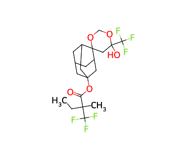 CCC(C)(C(=O)OC12CC3CC(C1)C1(CC(O)(C(F)(F)F)OCO1)C(C3)C2)C(F)(F)F